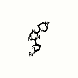 CN1CCN(c2ncnc(-c3ccc(Br)s3)n2)CC1